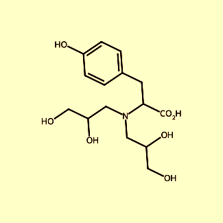 O=C(O)C(Cc1ccc(O)cc1)N(CC(O)CO)CC(O)CO